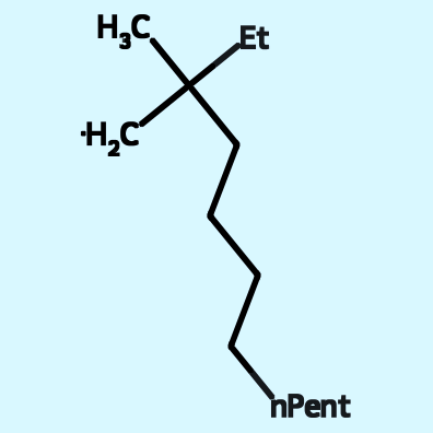 [CH2]C(C)(CC)CCCCCCCCC